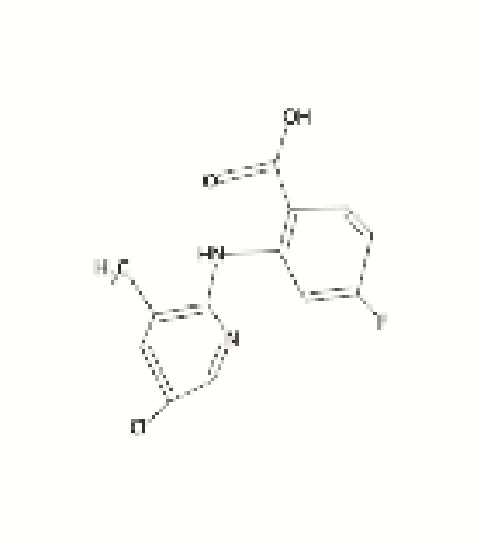 Cc1cc(Cl)cnc1Nc1cc(F)ccc1C(=O)O